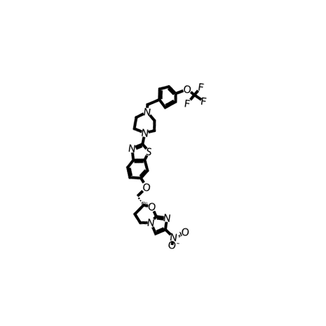 O=[N+]([O-])c1cn2c(n1)O[C@@H](COc1ccc3nc(N4CCN(Cc5ccc(OC(F)(F)F)cc5)CC4)sc3c1)CC2